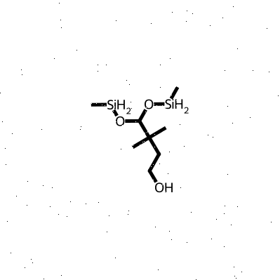 C[SiH2]OC(O[SiH2]C)C(C)(C)CCO